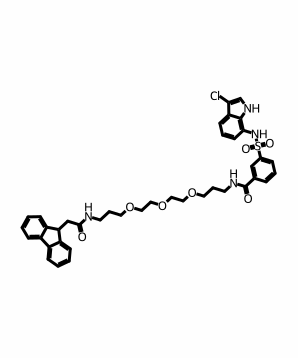 O=C(CC1c2ccccc2-c2ccccc21)NCCCOCCOCCOCCCNC(=O)c1cccc(S(=O)(=O)Nc2cccc3c(Cl)c[nH]c23)c1